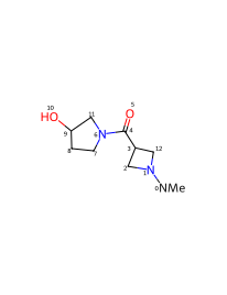 CNN1CC(C(=O)N2CCC(O)C2)C1